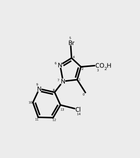 Cc1c(C(=O)O)c(Br)nn1-c1ncccc1Cl